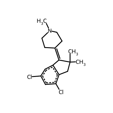 CN1CCC(=C2c3cc(Cl)cc(Cl)c3CC2(C)C)CC1